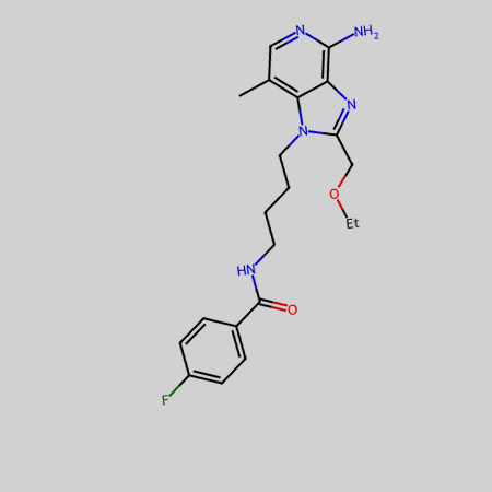 CCOCc1nc2c(N)ncc(C)c2n1CCCCNC(=O)c1ccc(F)cc1